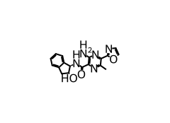 Cc1nc(C(=O)N[C@@H]2c3ccccc3C[C@@H]2O)c(N)nc1-c1ncco1